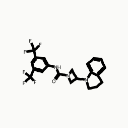 O=C(Nc1cc(C(F)(F)F)cc(C(F)(F)F)c1)N1CC(N2CCCc3ccccc32)C1